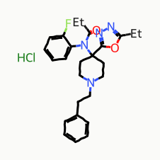 CCC(=O)N(c1ccccc1F)C1(c2nnc(CC)o2)CCN(CCc2ccccc2)CC1.Cl